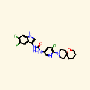 O=C(Nc1cnc(N2CCC3(CCCCO3)CC2)c(Cl)c1)Nc1c[nH]c2cc(F)c(F)cc12